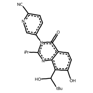 CC(C)c1nc2c(C(O)C(C)(C)C)c(O)ccc2c(=O)n1-c1ccc(C#N)nc1